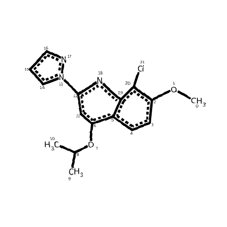 COc1ccc2c(OC(C)C)cc(-n3cccn3)nc2c1Cl